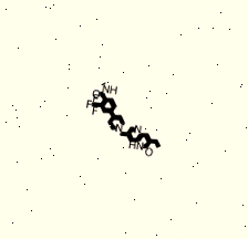 CCc1cc2ncc(CN3CC=C(c4ccc(C(=O)NC)c(C(F)(F)F)c4)CC3)cc2[nH]c1=O